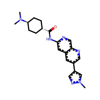 Cn1cc(-c2cnc3cnc(NC(=O)[C@H]4CC[C@H](N(C)C)CC4)cc3c2)cn1